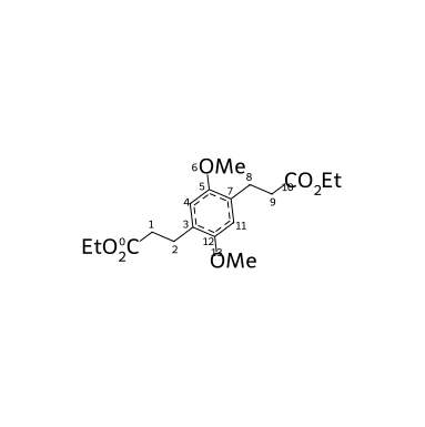 CCOC(=O)CCc1cc(OC)c(CCC(=O)OCC)cc1OC